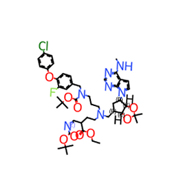 CCOC(=O)C(/C=N\C(=O)OC(C)(C)C)CCN(CCCN(Cc1ccc(Oc2ccc(Cl)cc2)c(F)c1)C(=O)OC(C)(C)C)C[C@H]1C[C@@H](n2ccc3c(NC)ncnc32)[C@@H]2OC(C)(C)O[C@H]12